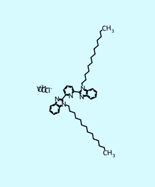 CCCCCCCCCCCCCCn1c(-c2cccc(-c3nc4ccccc4n3CCCCCCCCCCCCCC)n2)nc2ccccc21.[Cl-].[Cl-].[Cl-].[V+3]